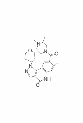 Cc1cc2[nH]c(=O)c3cnn(C4CCOCC4)c3c2cc1C(=O)N1CCN(C)C(C)C1